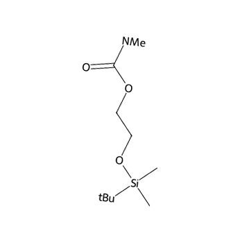 CNC(=O)OCCO[Si](C)(C)C(C)(C)C